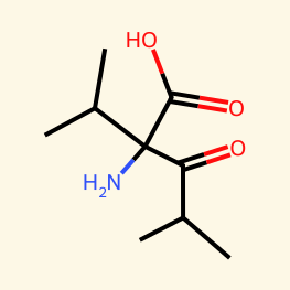 CC(C)C(=O)C(N)(C(=O)O)C(C)C